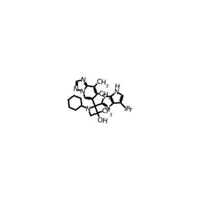 Cc1c(C2(c3nc4c(C(C)C)c[nH]c4s3)N(C3CCCCC3)CC2(O)C(F)(F)F)cn2ncnc2c1C